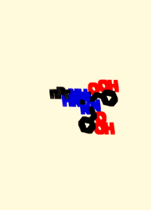 CCCNNc1nc(C(=O)c2ccccc2O)nc(C(=O)c2ccccc2O)n1